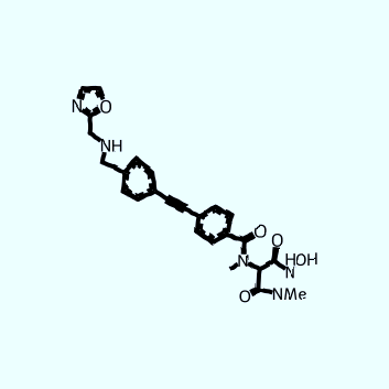 CNC(=O)C(C(=O)NO)N(C)C(=O)c1ccc(C#Cc2ccc(CNCc3ncco3)cc2)cc1